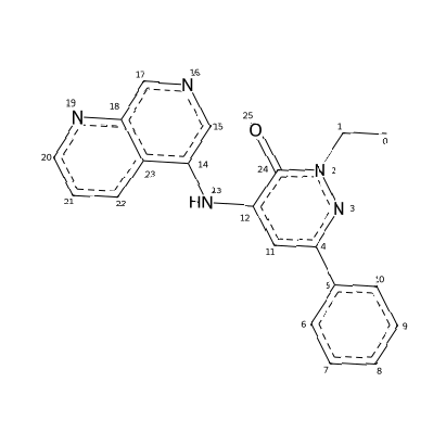 CCn1nc(-c2ccccc2)cc(Nc2cncc3ncccc23)c1=O